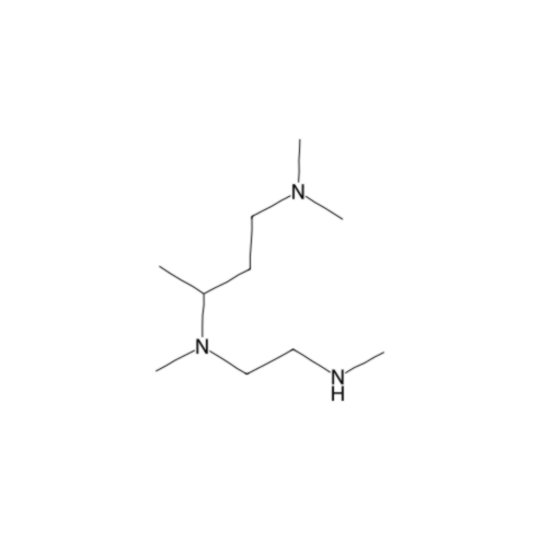 CNCCN(C)C(C)CCN(C)C